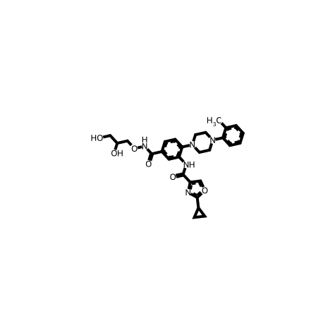 Cc1ccccc1N1CCN(c2ccc(C(=O)NOCC(O)CO)cc2NC(=O)c2coc(C3CC3)n2)CC1